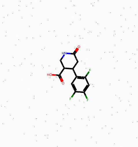 O=C1CC(c2cc(F)c(F)cc2F)C(C(=O)O)CN1